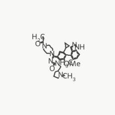 C=CC(=O)N1CCN(c2nc(=O)n(CC3CCCN3C)c3c(OC)c(-c4c(C)ccc5[nH]ncc45)c(C4CC4)cc23)CC1